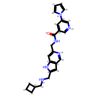 O=C(NCc1cc2[nH]c(CNCC3CCC3)cc2cn1)c1cncc(-n2cccc2)c1